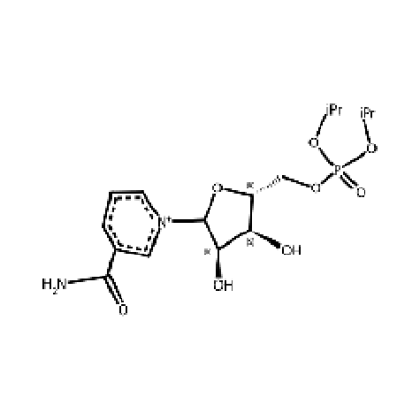 CC(C)OP(=O)(OC[C@H]1OC([n+]2cccc(C(N)=O)c2)[C@H](O)[C@@H]1O)OC(C)C